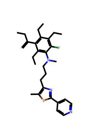 [C]=C(CC)c1c(CC)c(CC)c(F)c(N(C)CCCc2nc(-c3ccncc3)sc2C)c1CC